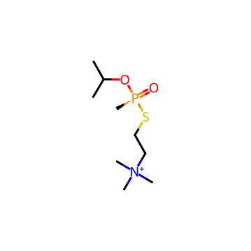 CC(C)O[P@](C)(=O)SCC[N+](C)(C)C